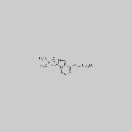 CCOC(=O)COc1cccn2c(CC(C)(C)N)ncc12